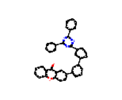 O=c1c2ccccc2oc2ccc(-c3cccc(-c4cccc(-c5nc(-c6ccccc6)nc(-c6ccccc6)n5)c4)c3)cc12